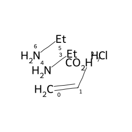 C=CC(=O)O.CCN.CCN.Cl